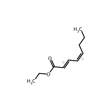 CCC/C=C\C=C\C(=O)OCC